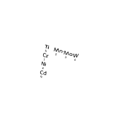 [Cd].[Cr].[Mn].[Mo].[Ni].[Ti].[W]